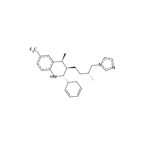 C[C@H](CC[C@@H]1[C@H](C)c2cc(C(F)(F)F)ccc2N[C@H]1C1C=CC=CC1)Cn1ccnc1